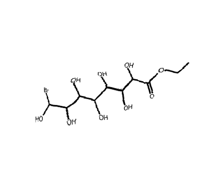 CCOC(=O)C(O)C(O)C(O)C(O)C(O)C(O)C(O)Br